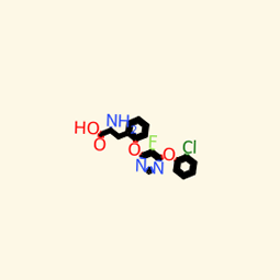 N[C@@H](Cc1ccccc1Oc1ncnc(Oc2ccccc2Cl)c1F)C(=O)O